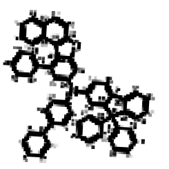 c1ccc(-c2ccc(N(c3ccc4c(c3)C(c3ccccc3)(c3ccccc3)c3ccccc3-4)c3cc(-c4ccccc4)c4c(c3)oc3ccc5ccccc5c34)cc2)cc1